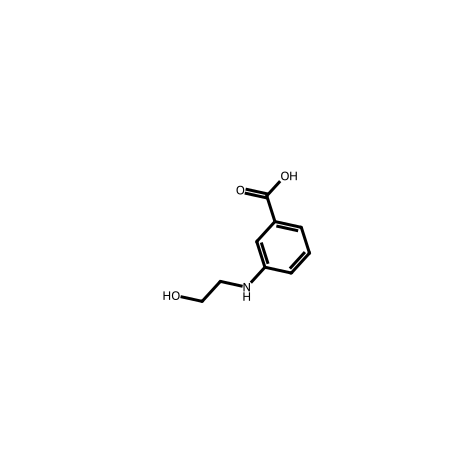 O=C(O)c1cccc(NCCO)c1